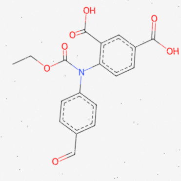 CCOC(=O)N(c1ccc(C=O)cc1)c1ccc(C(=O)O)cc1C(=O)O